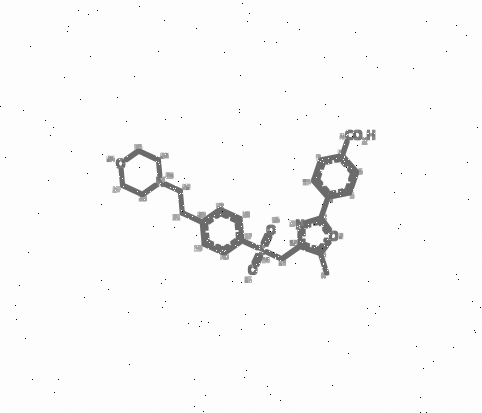 Cc1oc(-c2ccc(C(=O)O)cc2)nc1CS(=O)(=O)c1ccc(CCN2CCOCC2)cc1